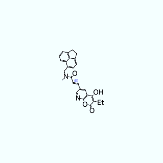 CCc1c(O)c2cc(/C=C/C(=O)N(C)Cc3ccc4c5c(cccc35)CC4)cnc2oc1=O